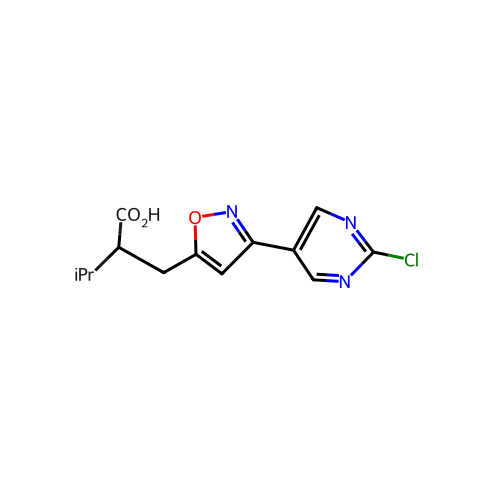 CC(C)C(Cc1cc(-c2cnc(Cl)nc2)no1)C(=O)O